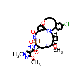 COc1nn(C)cc1C(=O)NC1[C@@H](C)C/C=C/[C@H](OC)[C@@H]2CC[C@H]2CN2Cc3ccc(Cl)cc3CCCCOc3ccc(cc32)C(=O)/N=[SH]\1=O